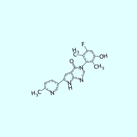 Cc1ccc(-c2cc3c(=O)n(-c4c(C)c(O)cc(F)c4C)cnc3[nH]2)cn1